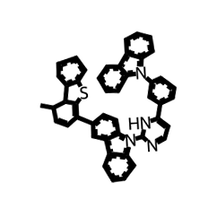 CC1C=CC(c2ccc3c(c2)c2ccccc2n3C2N=CC=C(c3cccc(-n4c5ccccc5c5ccccc54)c3)N2)=C2Sc3ccccc3C21